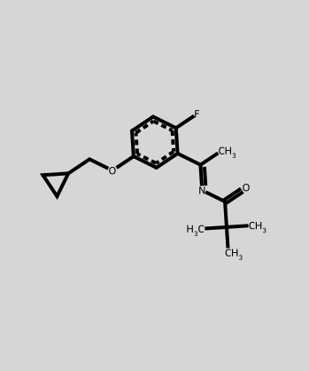 C/C(=N\C(=O)C(C)(C)C)c1cc(OCC2CC2)ccc1F